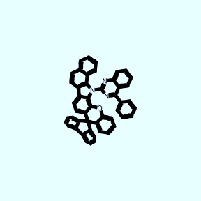 c1ccc(-c2nc(-n3c4c5c(ccc4c4ccc6ccccc6c43)C3(c4ccccc4O5)c4ccccc4-c4ccccc43)nc3ccccc23)cc1